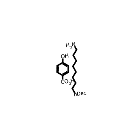 CCCCCCCCCCCCCCCCCCN.O=C(O)c1ccc(O)cc1